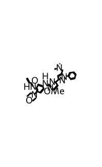 C=CC(=O)Nc1cc(Nc2nccc(-c3cc(CN(C)C)n(-c4ccccc4)n3)n2)c(OC)cc1N1CCOCC1